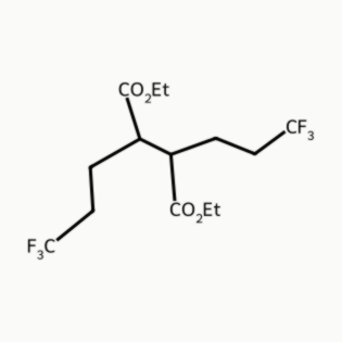 CCOC(=O)C(CCC(F)(F)F)C(CCC(F)(F)F)C(=O)OCC